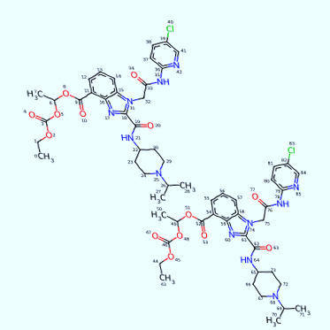 CCOC(=O)OC(C)OC(=O)c1cccc2c1nc(C(=O)NC1CCN(C(C)C)CC1)n2CC(=O)Nc1ccc(Cl)cn1.CCOC(=O)OC(C)OC(=O)c1cccc2c1nc(C(=O)NC1CCN(C(C)C)CC1)n2CC(=O)Nc1ccc(Cl)cn1